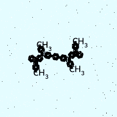 Cc1ccc(N(c2ccc(-c3ccc(-c4ccc(N(c5ccc(C)cc5)c5ccc6c(c5)c5ccccc5n6-c5ccc(C)cc5)cc4)cc3)cc2)c2ccc3c(c2)c2ccccc2n3-c2ccc(C)cc2)cc1